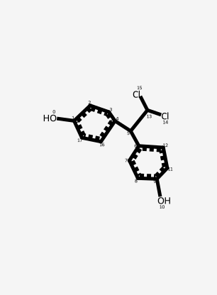 Oc1ccc(C(c2ccc(O)cc2)C(Cl)Cl)cc1